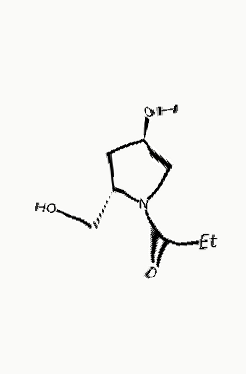 CCC(=O)N1C[C@H](O)C[C@H]1CO